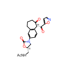 CC(=O)NC[C@H]1CN(c2ccc3c(c2)CCCC(=O)[C@@H]3C(=O)c2ccno2)C(=O)O1